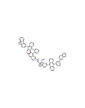 C=Cc1c(/C=C(\C)c2ccc3cccc(-c4ccccc4-c4c5ccccc5c(-c5ccc6oc7ccccc7c6c5)c5ccccc45)c3c2)oc2ccc(-c3c4ccccc4c(-c4cccc(-c5ccc6ccccc6c5)c4)c4ccccc34)cc12